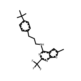 Cc1cc2c(NCCCc3ccc(C(C)(C)C)cc3)nc(C(F)(F)F)nc2s1